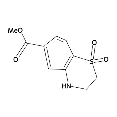 COC(=O)c1ccc2c(c1)NCCS2(=O)=O